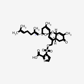 CC(C)=CCC/C(C)=C/[C@@H]1CC(C)=C[C@]2(C=C(COS(=O)(=O)c3ccsc3C(=O)O)[C@H]3CC(=O)C(C)=C[C@H]3O2)O1